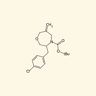 C=C1COCC(Cc2ccc(Cl)cc2)N(C(=O)OC(C)(C)C)C1